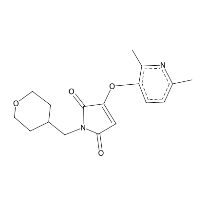 Cc1ccc(OC2=CC(=O)N(CC3CCOCC3)C2=O)c(C)n1